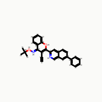 C#Cc1c(-c2cc3ccc(-c4ccccc4)cc3cn2)oc2ccccc2c1=NOC(C)(C)C